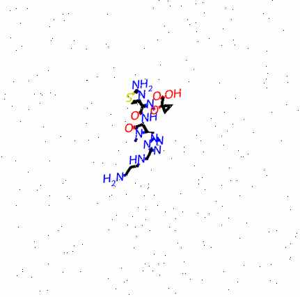 CN1C(=O)[C@@H](NC(=O)/C(=N\OC2(C(=O)O)CC2)c2csc(N)n2)[C@H]1Cn1nnc(CNCCCN)n1